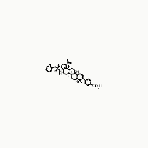 C=C(C)[C@@H]1CC[C@]2(NS(=O)(=O)Cc3ccccn3)CC[C@]3(C)[C@H](CC[C@@H]4[C@@]5(C)CC=C(c6ccc(C(=O)O)cc6)C(C)(C)[C@@H]5CC[C@]43C)[C@@H]12